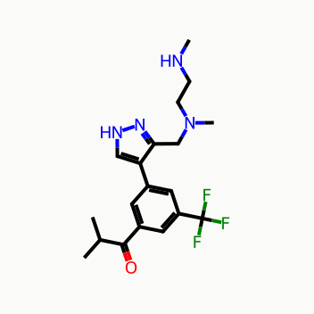 CNCCN(C)Cc1n[nH]cc1-c1cc(C(=O)C(C)C)cc(C(F)(F)F)c1